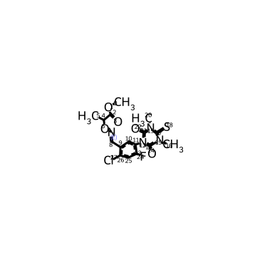 COC(=O)C(C)O/N=C/c1cc(-n2c(=O)n(C)c(=S)n(C)c2=O)c(F)cc1Cl